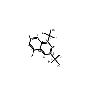 Cc1cccc2c(C(C)(C)C)[c]c(C(C)(C)C)cc12